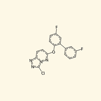 Fc1cccc(-c2cc(F)ccc2Oc2ccc3nnc(Cl)n3n2)c1